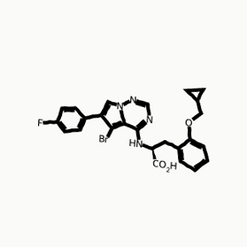 O=C(O)[C@H](Cc1ccccc1OCC1CC1)Nc1ncnn2cc(-c3ccc(F)cc3)c(Br)c12